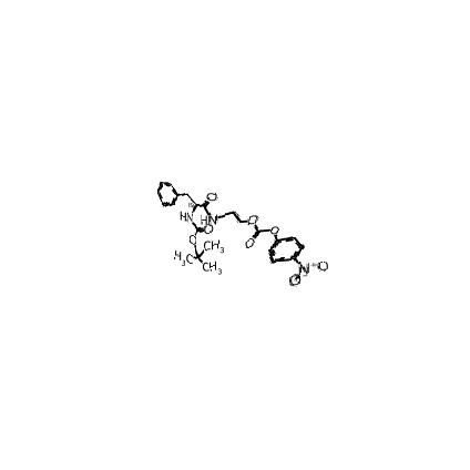 CC(C)(C)OC(=O)N[C@@H](Cc1ccccc1)C(=O)NCCOC(=O)Oc1ccc([N+](=O)[O-])cc1